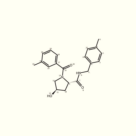 Cc1ccc(CNC(=O)[C@@H]2C[C@@H](O)CN2C(=O)c2cccc(C)c2)cc1